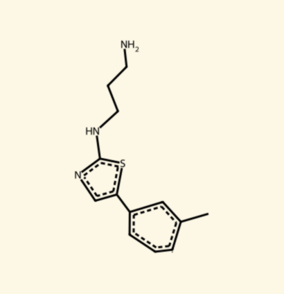 Cc1[c]ccc(-c2cnc(NCCCN)s2)c1